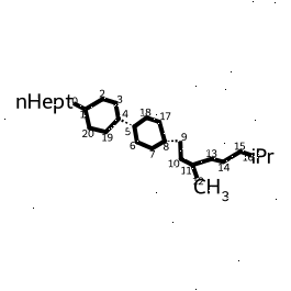 CCCCCCCC1CCC([C@H]2CC[C@@H](CCC(C)CCCC(C)C)CC2)CC1